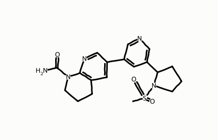 CS(=O)(=O)N1CCCC1c1cncc(-c2cnc3c(c2)CCCN3C(N)=O)c1